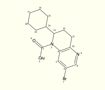 O=C(O)N1c2cc(Br)cnc2CCC1C1CCCCC1